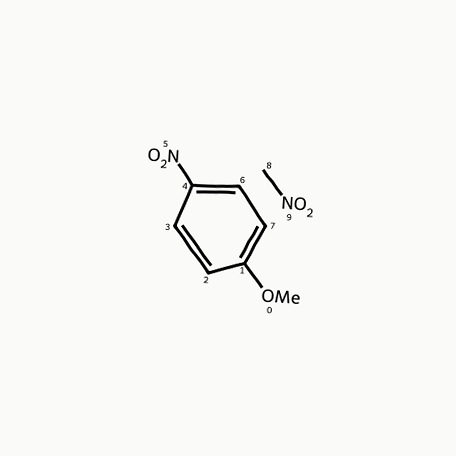 COc1ccc([N+](=O)[O-])cc1.C[N+](=O)[O-]